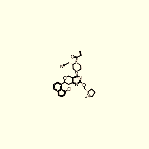 C=CC(=O)N1CCN(c2nc(OC[C@@H]3CCCN3C)nc3c2COC(c2cccc4cccc(Cl)c24)C3)C[C@@H]1CC#N